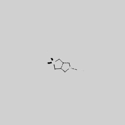 CC(C)(C)N1CC2CS(=O)(=O)CC2C1